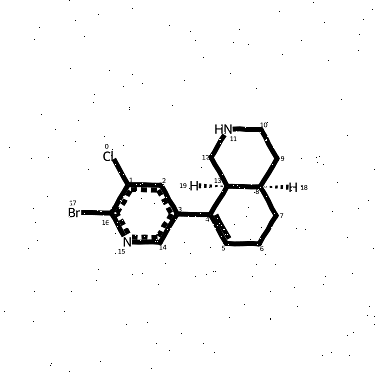 Clc1cc(C2=CCC[C@@H]3CCNC[C@H]23)cnc1Br